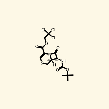 CC(C)(C)OC(=O)N[C@@H]1C(=O)N2C(C(=O)OCC(Cl)(Cl)Cl)=CSC[C@@H]12